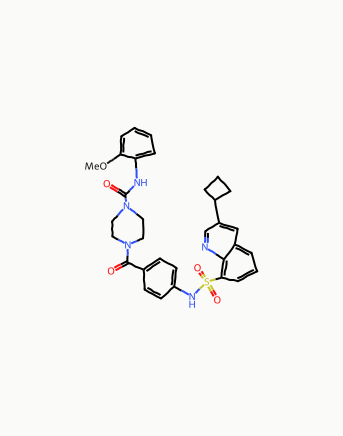 COc1ccccc1NC(=O)N1CCN(C(=O)c2ccc(NS(=O)(=O)c3cccc4cc(C5CCC5)cnc34)cc2)CC1